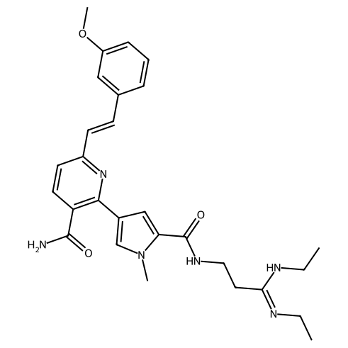 CC/N=C(/CCNC(=O)c1cc(-c2nc(/C=C/c3cccc(OC)c3)ccc2C(N)=O)cn1C)NCC